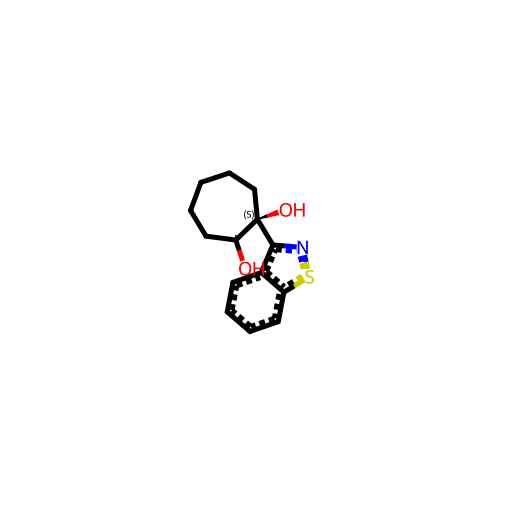 O[C]1CCCCC[C@]1(O)c1nsc2ccccc12